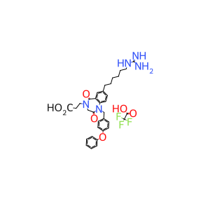 N=C(N)NCCCCCCc1ccc2c(c1)C(=O)N(CCC(=O)O)CC(=O)N2Cc1ccc(Oc2ccccc2)cc1.O=C(O)C(F)(F)F